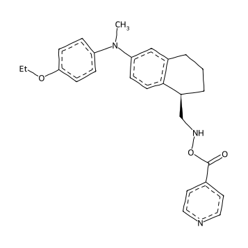 CCOc1ccc(N(C)c2ccc3c(c2)CCC[C@H]3CNOC(=O)c2ccncc2)cc1